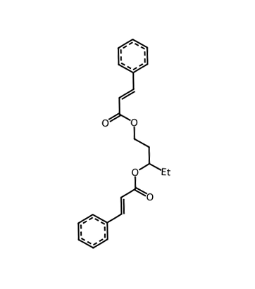 CCC(CCOC(=O)C=Cc1ccccc1)OC(=O)C=Cc1ccccc1